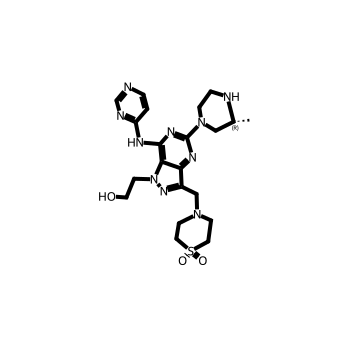 C[C@@H]1CN(c2nc(Nc3ccncn3)c3c(n2)c(CN2CCS(=O)(=O)CC2)nn3CCO)CCN1